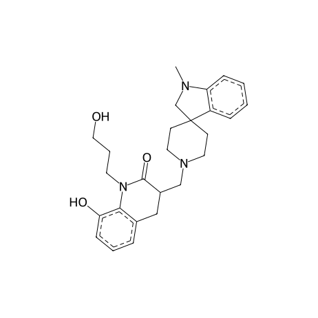 CN1CC2(CCN(CC3Cc4cccc(O)c4N(CCCO)C3=O)CC2)c2ccccc21